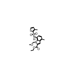 CCOC(=O)c1cc2c(C)ccc(NS(=O)(=O)c3sccc3C)c2n1COC